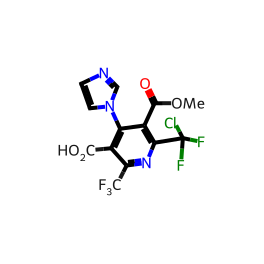 COC(=O)c1c(C(F)(F)Cl)nc(C(F)(F)F)c(C(=O)O)c1-n1ccnc1